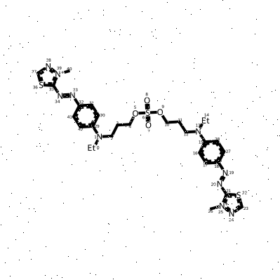 CCN(CCCOS(=O)(=O)OCCCN(CC)c1ccc(/N=N/c2scn[n+]2C)cc1)c1ccc(/N=N/c2scn[n+]2C)cc1